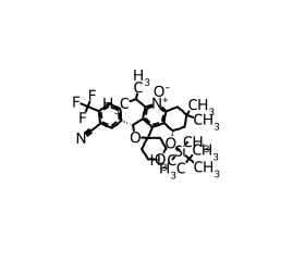 CC(C)c1c2c(c3c([n+]1[O-])CC(C)(C)C[C@@H]3O[Si](C)(C)C(C)(C)C)C1(CCOCC1)O[C@@H]2c1ccc(C(F)(F)F)c(C#N)c1